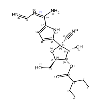 CCC(CC)C(=O)O[C@H]1[C@@H](O)[C@](C#N)(c2ccc(/C(N)=N\C=N)[nH]2)O[C@@H]1CO